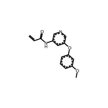 C=CC(=O)Nc1cncc(Oc2cccc(OC)c2)c1